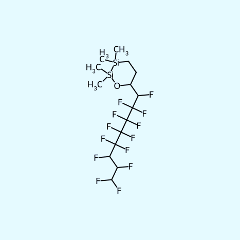 C[Si]1(C)CCC(C(F)C(F)(F)C(F)(F)C(F)(F)C(F)(F)C(F)C(F)C(F)F)O[Si]1(C)C